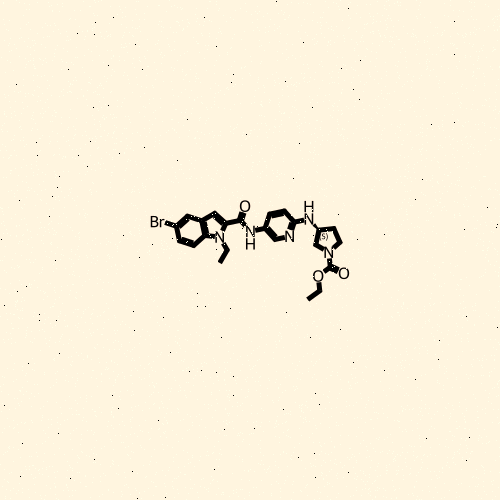 CCOC(=O)N1CC[C@H](Nc2ccc(NC(=O)c3cc4cc(Br)ccc4n3CC)cn2)C1